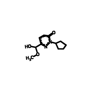 COC(O)c1ccc(=O)n(C2CCCC2)n1